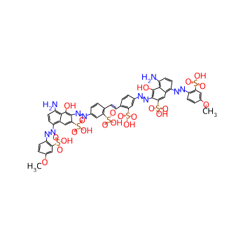 COc1ccc(N=Nc2ccc(N)c3c(O)c(N=Nc4ccc(/C=C/c5ccc(N=Nc6c(S(=O)(=O)O)cc7c(N=Nc8ccc(OC)cc8S(=O)(=O)O)ccc(N)c7c6O)cc5S(=O)(=O)O)c(S(=O)(=O)O)c4)c(S(=O)(=O)O)cc23)c(S(=O)(=O)O)c1